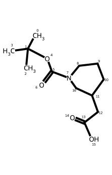 CC(C)(C)OC(=O)N1CCCC(CC(=O)O)C1